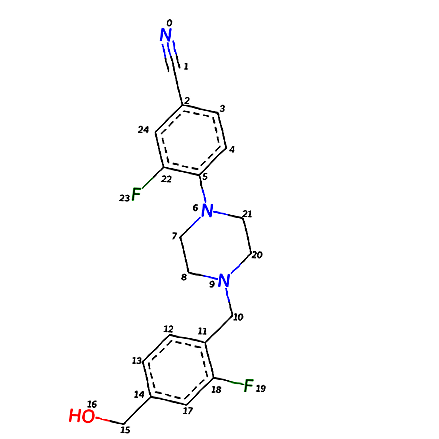 N#Cc1ccc(N2CCN(Cc3ccc(CO)cc3F)CC2)c(F)c1